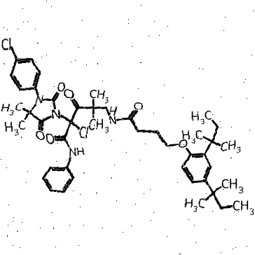 CCC(C)(C)c1ccc(OCCCC(=O)NCC(C)(C)C(=O)C(Cl)(C(=O)Nc2ccccc2)N2C(=O)N(c3ccc(Cl)cc3)C(C)(C)C2=O)c(C(C)(C)CC)c1